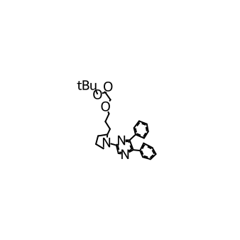 CC(C)(C)OC(=O)COCCCC1CCCN1c1cnc(-c2ccccc2)c(-c2ccccc2)n1